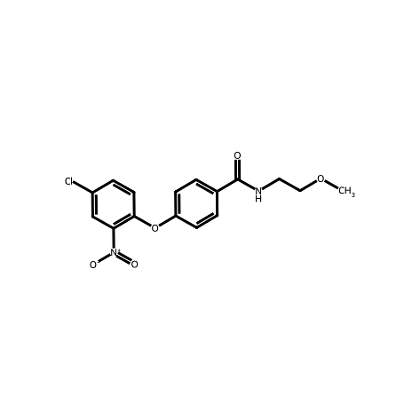 COCCNC(=O)c1ccc(Oc2ccc(Cl)cc2[N+](=O)[O-])cc1